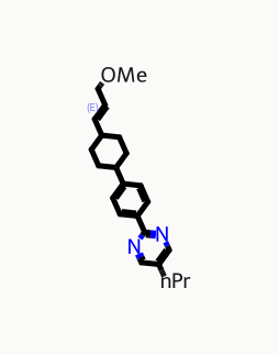 CCCc1cnc(-c2ccc(C3CCC(/C=C/COC)CC3)cc2)nc1